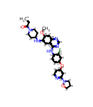 C=CC(=O)N1CCC(Nc2cc3c(Nc4ccc(Oc5ccnc(N6CCCO6)c5)cc4F)ncnc3cc2OC)CC1